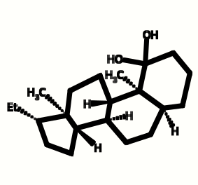 CC[C@H]1CC[C@H]2[C@@H]3CC[C@@H]4CCCC(O)(O)[C@]4(C)[C@H]3CC[C@]12C